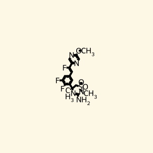 COc1cnc(/C(F)=C/c2cc(F)c(F)c([C@]3(C)CS(=O)(=O)N(C)C(N)=N3)c2)cn1